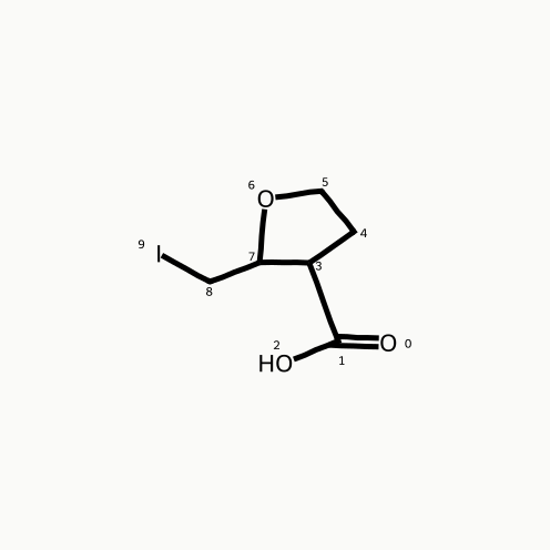 O=C(O)C1CCOC1CI